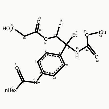 CCCCCCC(=O)Nc1ccc(C(CC)(NC(=O)OC(C)(C)C)C(CC)OC(=O)CC(=O)O)cc1